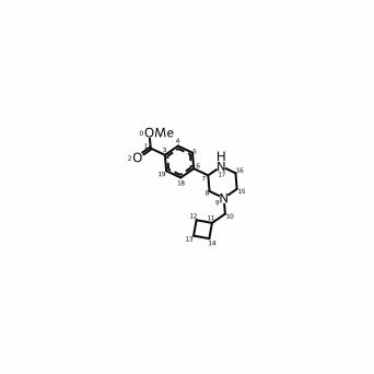 COC(=O)c1ccc(C2CN(CC3CCC3)CCN2)cc1